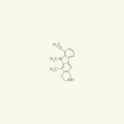 COc1cccc2c3cc4c(c(C)c3n(C)c12)CCNC4